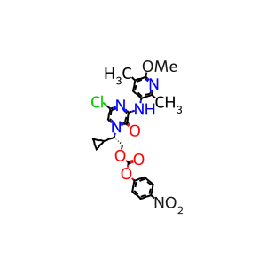 COc1nc(C)c(Nc2nc(Cl)cn([C@H](COC(=O)Oc3ccc([N+](=O)[O-])cc3)C3CC3)c2=O)cc1C